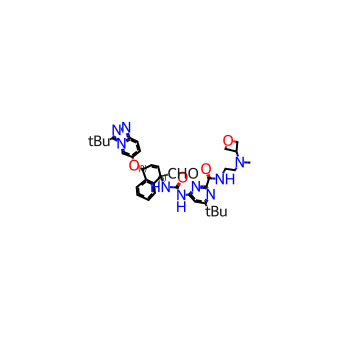 CN(CCNC(=O)c1nc(NC(=O)N[C@@]2(C=O)C=C[C@@H](Oc3ccc4nnc(C(C)(C)C)n4c3)c3ccccc32)cc(C(C)(C)C)n1)C1COC1